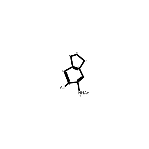 CC(=O)Nc1cc2c(cc1C(C)=O)CCC2